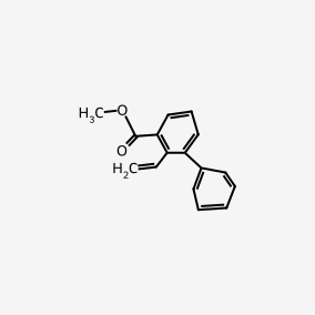 C=Cc1c(C(=O)OC)cccc1-c1ccccc1